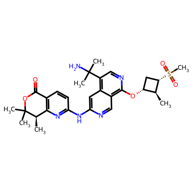 C[C@H]1[C@H](Oc2ncc(C(C)(C)N)c3cc(Nc4ccc5c(n4)[C@@H](C)C(C)(C)OC5=O)ncc23)C[C@@H]1S(C)(=O)=O